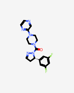 O=C(N1CCN(c2cnccn2)CC1)N1N=CC[C@H]1c1cc(F)cc(F)c1